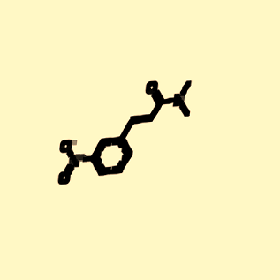 CN(C)C(=O)/C=C/c1cccc([N+](=O)[O-])c1